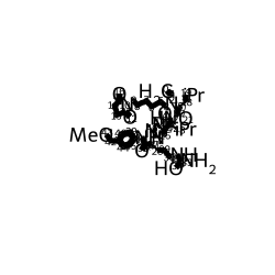 C=CN(C(=O)CCCCCN1C(=O)CCC1=O)[C@@H](CC(C)C)C(=O)N[C@H](c1cn([C@@H](CCCNC(N)O)C(=O)Nc2ccc(COC)cc2)nn1)C(C)C